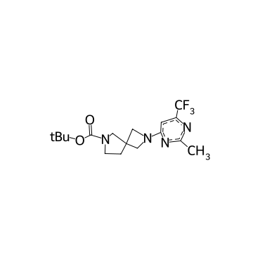 Cc1nc(N2CC3(CCN(C(=O)OC(C)(C)C)C3)C2)cc(C(F)(F)F)n1